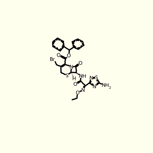 CCO/N=C(\C(=O)N[C@@H]1C(=O)N2C(C(=O)OC(c3ccccc3)c3ccccc3)=C(CBr)CS[C@H]12)c1nsc(N)n1